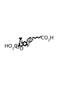 O=C(O)CCCCCN1CCN(c2cc3c(cc2F)c(=O)c(OC(=O)O)cn3C2CC2)CC1